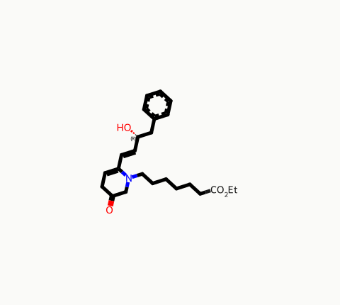 CCOC(=O)CCCCCCN1CC(=O)CC=C1C=C[C@H](O)Cc1ccccc1